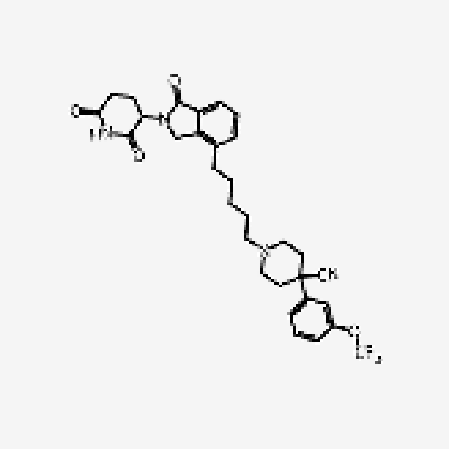 N#CC1(c2cccc(OC(F)(F)F)c2)CCN(CCCCCc2cccc3c2CN(C2CCC(=O)NC2=O)C3=O)CC1